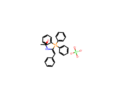 CC(=O)NC(=Cc1ccccc1)[P+](c1ccccc1)(c1ccccc1)c1ccccc1.[O-][Cl+3]([O-])([O-])[O-]